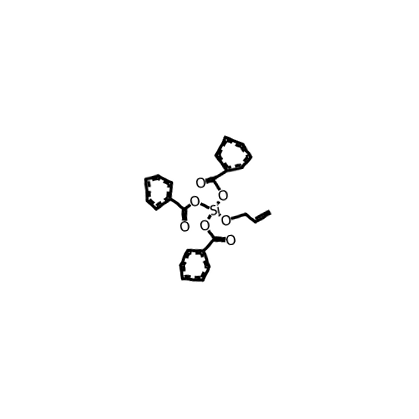 C=CCO[Si](OC(=O)c1ccccc1)(OC(=O)c1ccccc1)OC(=O)c1ccccc1